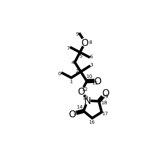 CCC(C)(CC(C)(C)OC)C(=O)ON1C(=O)CCC1=O